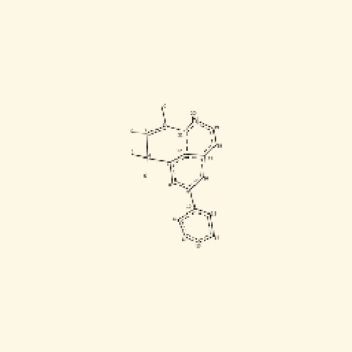 CC1=C(C)C(C)(C)c2cc(-c3ccccc3)cc3ccnc1c23